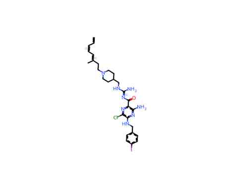 C=C/C=C\C=C(/C)CCN1CCC(CN/C(N)=N/C(=O)c2nc(Cl)c(NCc3ccc(I)cc3)nc2N)CC1